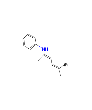 C/C(=C/C=C(\C)Nc1ccccc1)C(C)C